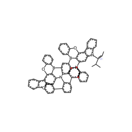 C/C=C(/C(C)C)n1c2ccccc2c2c3c4c(cc21)N(c1ccccc1)c1cc2c(cc1B4c1ccccc1O3)B1c3ccccc3Oc3c1c(cc1oc4ccccc4c31)N2c1c(-c2ccccc2)cccc1-c1ccccc1